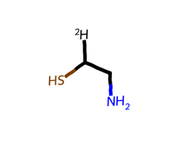 [2H]C(S)CN